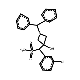 CS(=O)(=O)C(c1cccc(Cl)c1)C1(O)CN(C(c2ccccc2)c2ccccc2)C1